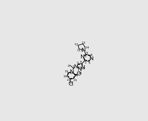 CC(n1cc(-c2cncc(N3CCCC3)n2)nn1)n1ccc(Cl)cc1=O